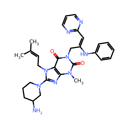 CC(C)=CCn1c(N2CCCC(N)C2)nc2c1c(=O)n(CC(=Cc1ncccn1)Nc1ccccc1)c(=O)n2C